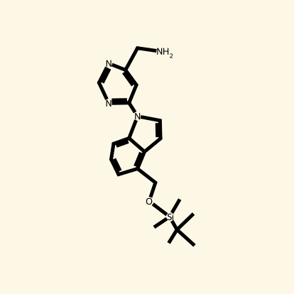 CC(C)(C)[Si](C)(C)OCc1cccc2c1ccn2-c1cc(CN)ncn1